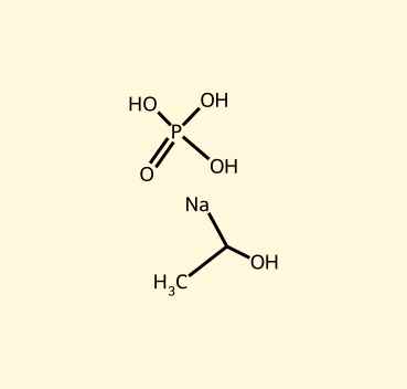 C[CH](O)[Na].O=P(O)(O)O